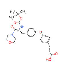 CC(C)(C)OC(=O)N[C@@H](Cc1ccc(Oc2ccc(CCC(=O)O)cc2)cc1)C(=O)N1CCOCC1